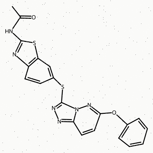 CC(=O)Nc1nc2ccc(Sc3nnc4ccc(Oc5ccccc5)nn34)cc2s1